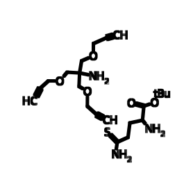 C#CCOCC(N)(COCC#C)COCC#C.CC(C)(C)OC(=O)C(N)CCC(N)=S